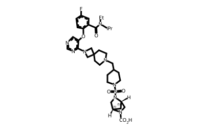 CCN(C(=O)c1cc(F)ccc1Oc1cncnc1N1CC2(CCN(CC3CCN(S(=O)(=O)N4C[C@@H]5C[C@H]4CN5C(=O)O)CC3)CC2)C1)C(C)C